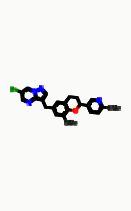 COc1ccc(C2CCc3cc(Cc4cnn5cc(Br)cnc45)cc(OC)c3O2)cn1